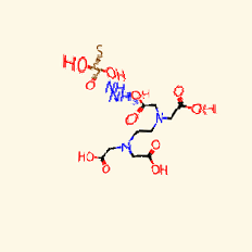 N.N.O=C(O)CN(CCN(CC(=O)O)CC(=O)O)CC(=O)O.O=S(O)(O)=S